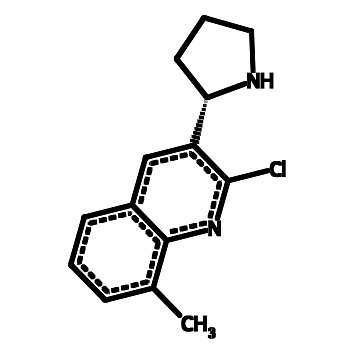 Cc1cccc2cc([C@@H]3CCCN3)c(Cl)nc12